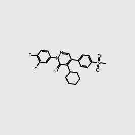 CS(=O)(=O)c1ccc(-c2cnn(-c3ccc(F)c(F)c3)c(=O)c2C2CCCCC2)cc1